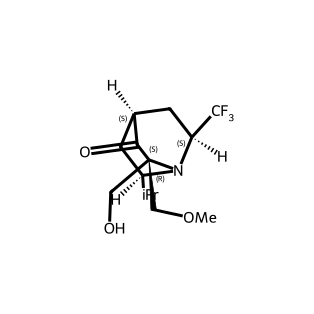 COC[C@@]1(CO)C(=O)[C@H]2C[C@H](C(C)C)N1[C@H](C(F)(F)F)C2